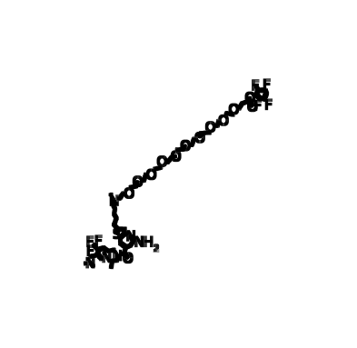 CCCN(Cc1cc(C(F)(F)F)c(CN(C)C)cn1)C(=O)C1=Cc2sc(CCCCCN(C)CCOCCOCCOCCOCCOCCOCCOCCOCCOCCOCCC(=O)Oc3c(F)c(F)cc(F)c3F)cc2N=C(N)C1